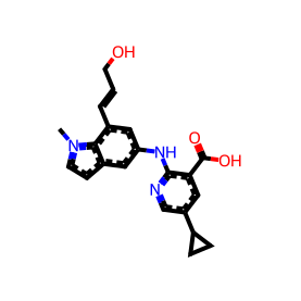 Cn1ccc2cc(Nc3ncc(C4CC4)cc3C(=O)O)cc(C=CCO)c21